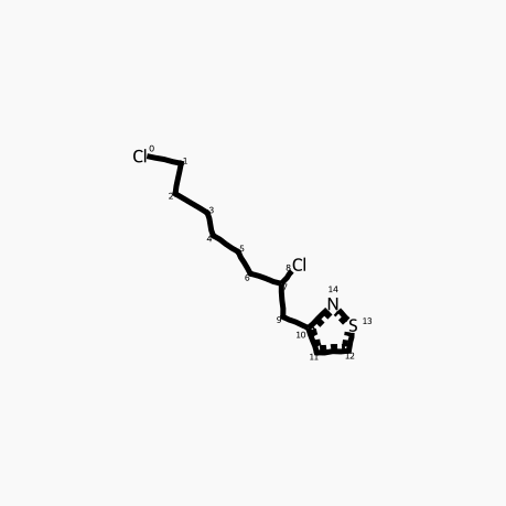 ClCCCCCCC(Cl)Cc1ccsn1